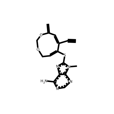 C#CC1=C/C(=C)OCOC/C=C\1Sc1nc2c(N)ncnc2n1C